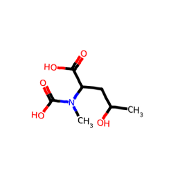 CC(O)CC(C(=O)O)N(C)C(=O)O